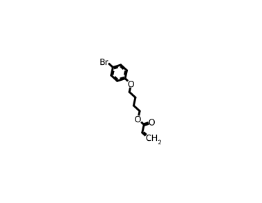 C=CC(=O)OCCCCOc1ccc(Br)cc1